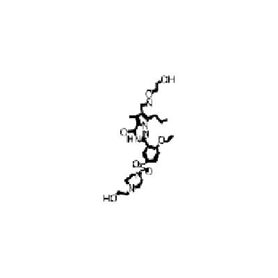 CCCc1c(/C=N/OCCO)c(C)c2c(=O)[nH]c(-c3cc(S(=O)(=O)N4CCN(CCO)CC4)ccc3OCC)nn12